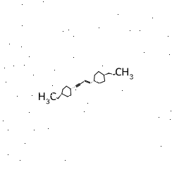 CCC[C@H]1CC[C@H](C=CC#C[C@H]2CC[C@H](CC)CC2)CC1